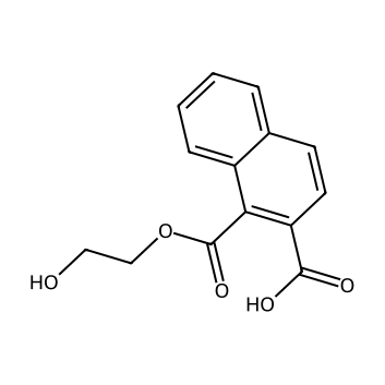 O=C(O)c1ccc2ccccc2c1C(=O)OCCO